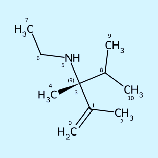 C=C(C)[C@](C)(NCC)C(C)C